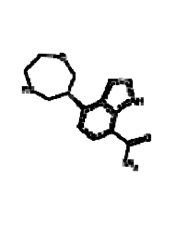 NC(=O)c1ccc([C@H]2CNCCOC2)c2cc[nH]c12